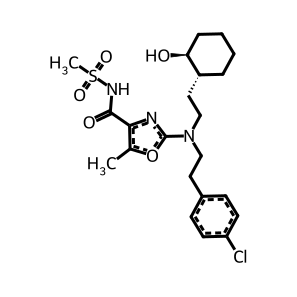 Cc1oc(N(CCc2ccc(Cl)cc2)CC[C@H]2CCCC[C@@H]2O)nc1C(=O)NS(C)(=O)=O